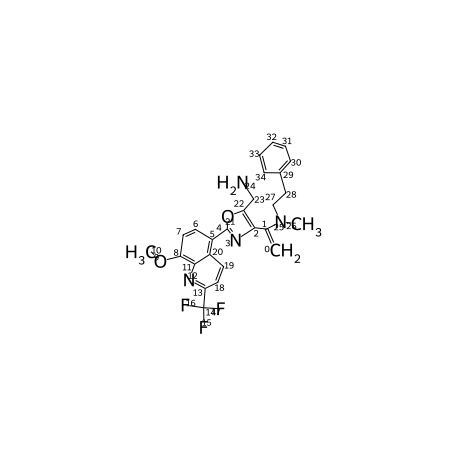 C=C(c1nc(-c2ccc(OC)c3nc(C(F)(F)F)ccc23)oc1CN)N(C)CCc1ccccc1